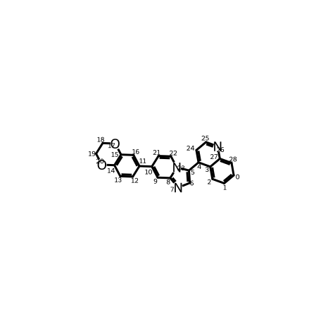 c1ccc2c(-c3cnc4cc(-c5ccc6c(c5)OCCO6)ccn34)ccnc2c1